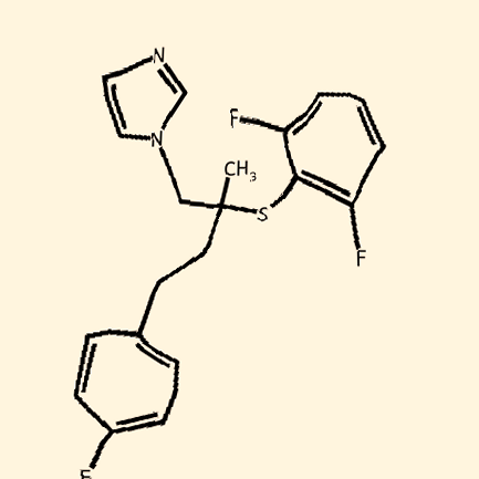 CC(CCc1ccc(F)cc1)(Cn1ccnc1)Sc1c(F)cccc1F